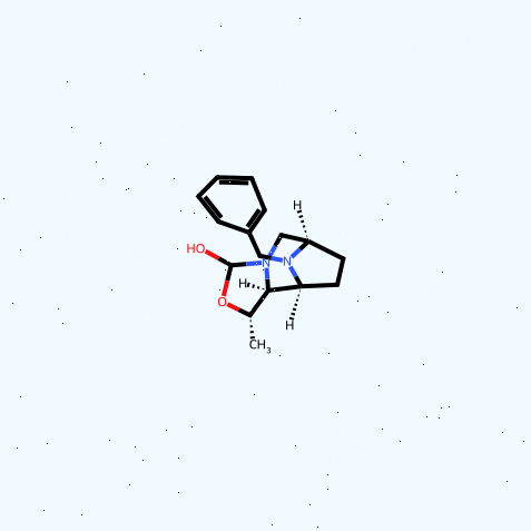 C[C@@H]1OC(O)N2C[C@H]3CC[C@@H]([C@@H]12)N3Cc1ccccc1